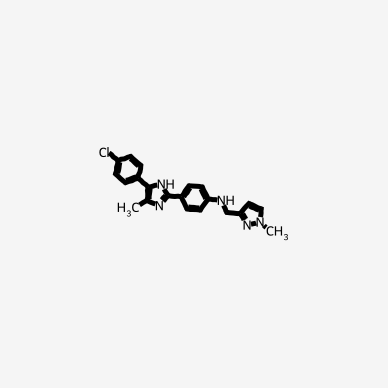 Cc1nc(-c2ccc(NCc3ccn(C)n3)cc2)[nH]c1-c1ccc(Cl)cc1